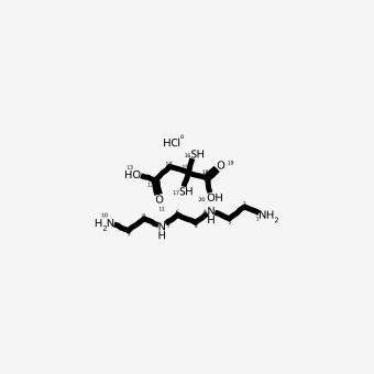 Cl.NCCNCCNCCN.O=C(O)CC(S)(S)C(=O)O